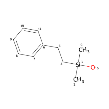 C[Si](C)([O])CCc1ccccc1